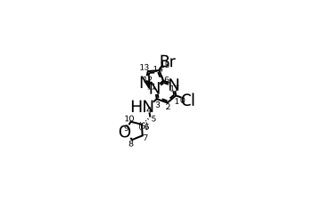 Clc1cc(NC[C@@H]2CCOC2)n2ncc(Br)c2n1